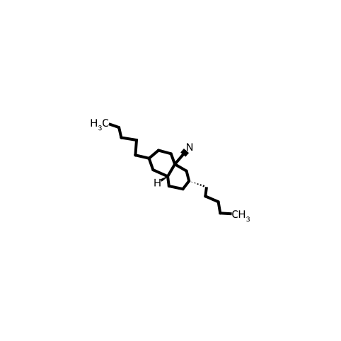 CCCCCC1CCC2(C#N)C[C@H](CCCCC)CC[C@@H]2C1